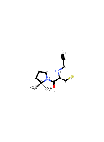 C#CCN[C@@H](CS)C(=O)N1CCC[C@]1(C(=O)O)S(=O)(=O)O